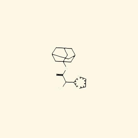 N#CC(C(=O)NC12CC3CC(CC(C3)C1)C2)c1nccs1